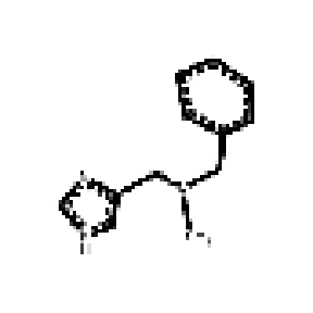 CN(Cc1ccccc1)Cc1c[nH]cn1